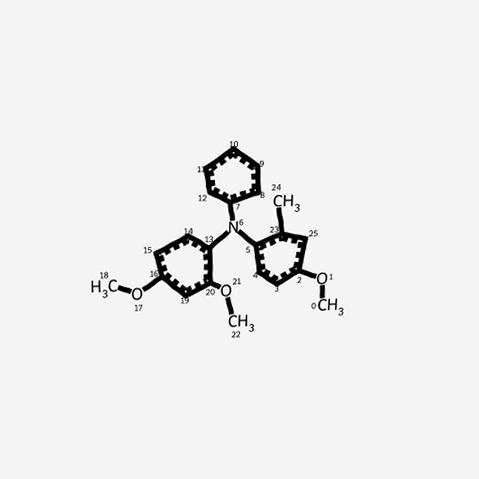 COc1ccc(N(c2ccccc2)c2ccc(OC)cc2OC)c(C)c1